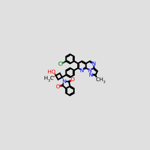 Cc1cc2ncc3cc(-c4cccc(Cl)c4)c(-c4ccc([C@]5(N6C(=O)c7ccccc7C6=O)C[C@](C)(O)C5)cc4)nc3n2n1